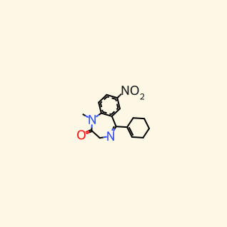 CN1C(=O)CN=C(C2=CCCCC2)c2cc([N+](=O)[O-])ccc21